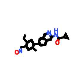 CCc1cc(-c2ccc3cc(NC(=O)C4CC4)ncc3c2)c(C)cc1CN=O